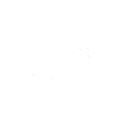 COc1cc2ccc(-c3nn[nH]c3C(=O)O)cc2cn1